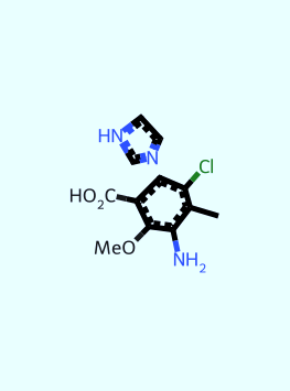 COc1c(C(=O)O)cc(Cl)c(C)c1N.c1c[nH]cn1